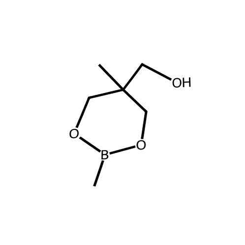 CB1OCC(C)(CO)CO1